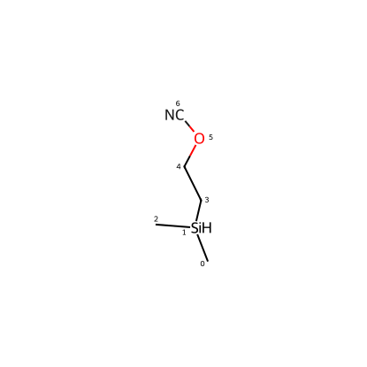 C[SiH](C)CCOC#N